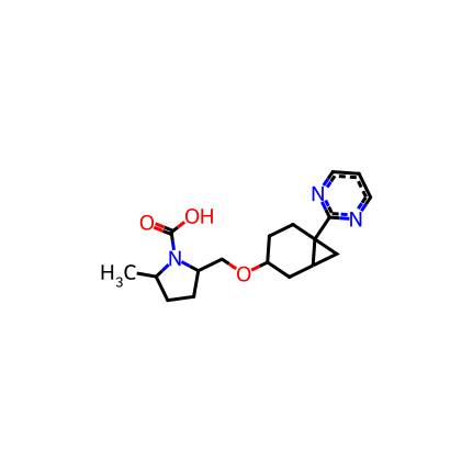 CC1CCC(COC2CCC3(c4ncccn4)CC3C2)N1C(=O)O